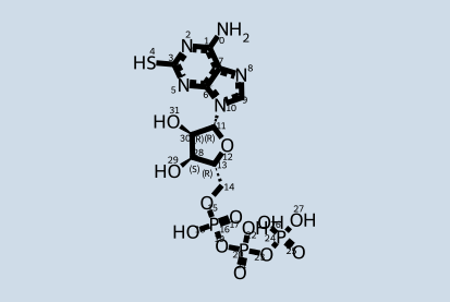 Nc1nc(S)nc2c1ncn2[C@@H]1O[C@H](COP(=O)(O)OP(=O)(O)OP(=O)(O)O)[C@@H](O)[C@H]1O